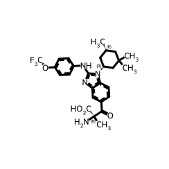 C[C@H]1C[C@@H](n2c(Nc3ccc(OC(F)(F)F)cc3)nc3cc(C(=O)[C@@](C)(N)C(=O)O)ccc32)CC(C)(C)C1